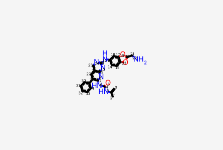 C=C(C)NC(=O)Nc1nc2nc(Nc3ccc4c(c3)OC(CN)O4)ncc2cc1-c1ccccc1